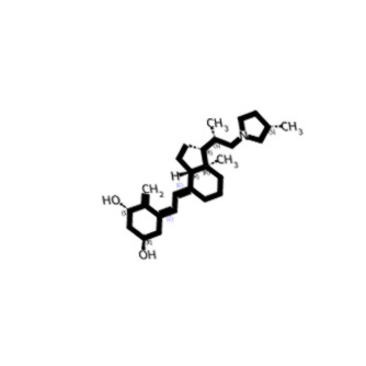 C=C1/C(=C\C=C2/CCC[C@]3(C)[C@@H]([C@H](C)CN4CC[C@H](C)C4)CC[C@@H]23)C[C@@H](O)C[C@@H]1O